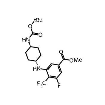 COC(=O)c1cc(F)c(C(F)(F)F)c(N[C@H]2CC[C@H](NC(=O)OC(C)(C)C)CC2)c1